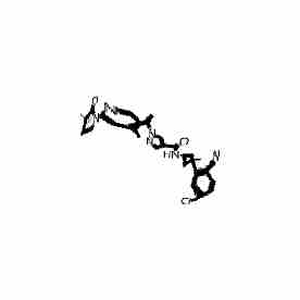 Cc1cc(N2CC[C@H](C)C2=O)ncc1C(C)n1cc(C(=O)N[C@H]2C[C@@](C)(c3cc(Cl)ccc3C#N)C2)cn1